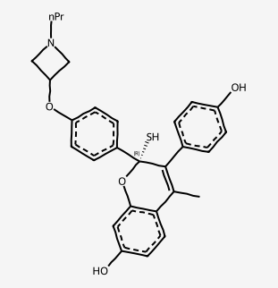 CCCN1CC(Oc2ccc([C@]3(S)Oc4cc(O)ccc4C(C)=C3c3ccc(O)cc3)cc2)C1